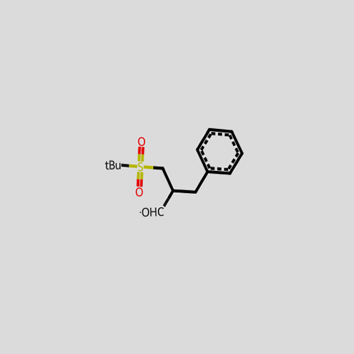 CC(C)(C)S(=O)(=O)CC([C]=O)Cc1ccccc1